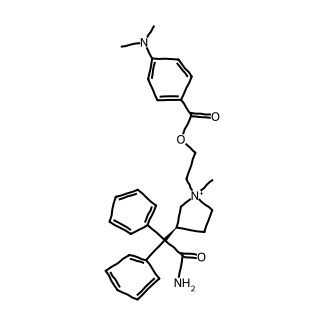 CN(C)c1ccc(C(=O)OCC[N+]2(C)CC[C@@H](C(C(N)=O)(c3ccccc3)c3ccccc3)C2)cc1